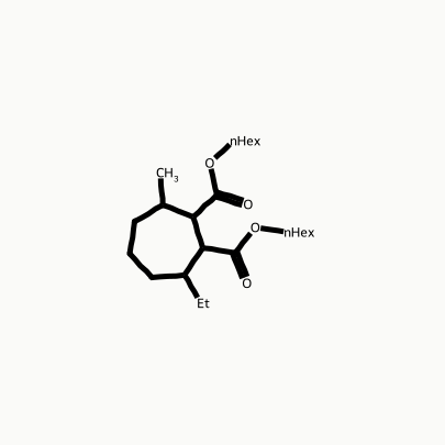 CCCCCCOC(=O)C1C(C)CCCC(CC)C1C(=O)OCCCCCC